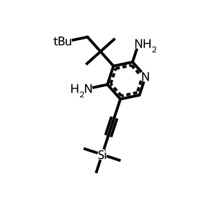 CC(C)(C)CC(C)(C)c1c(N)ncc(C#C[Si](C)(C)C)c1N